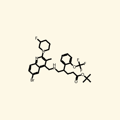 Cc1c(N2CCCC(F)C2)nc2ccc(Br)cc2c1CNCC(CCC(=O)OC(C)(C)C)c1ccccc1OC(F)(F)F